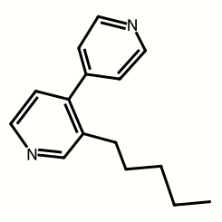 CCCCCc1cnccc1-c1ccncc1